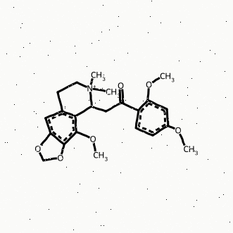 COc1ccc(C(=O)CC2c3c(cc4c(c3OC)OCO4)CC[N+]2(C)C)c(OC)c1